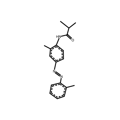 Cc1ccccc1N=Nc1ccc(NC(=O)C(C)C)c(C)c1